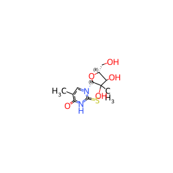 Cc1cn([C@@H]2O[C@H](CO)C(O)C2(C)O)c(=S)[nH]c1=O